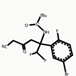 CC(C)(C)[S+]([O-])NC(CC(=O)CC#N)(c1cc(Br)ccc1F)C(F)F